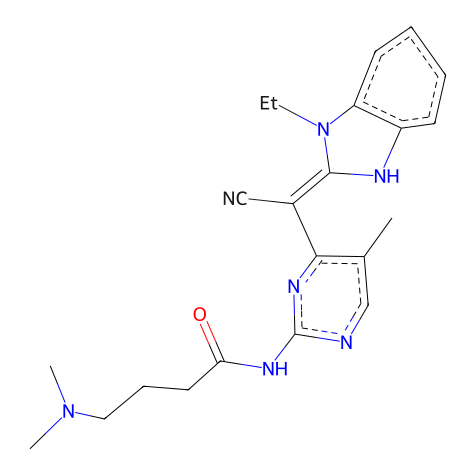 CCN1C(=C(C#N)c2nc(NC(=O)CCCN(C)C)ncc2C)Nc2ccccc21